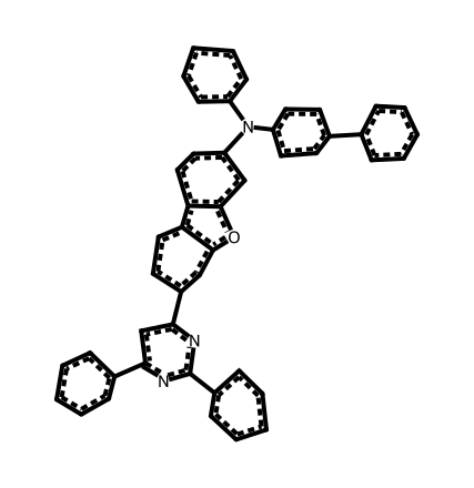 c1ccc(-c2ccc(N(c3ccccc3)c3ccc4c(c3)oc3cc(-c5cc(-c6ccccc6)nc(-c6ccccc6)n5)ccc34)cc2)cc1